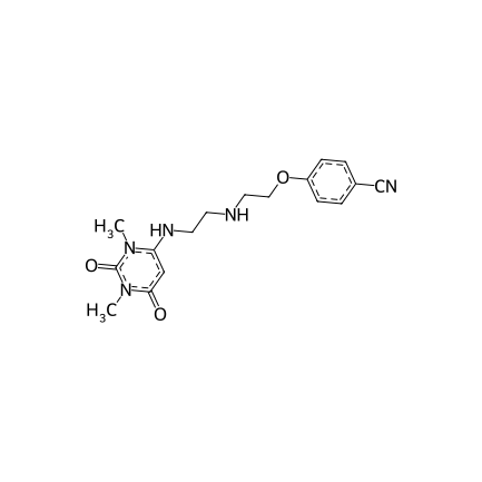 Cn1c(NCCNCCOc2ccc(C#N)cc2)cc(=O)n(C)c1=O